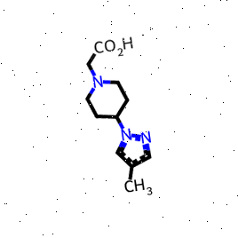 Cc1cnn(C2CCN(CC(=O)O)CC2)c1